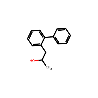 [CH2]C(O)Cc1ccccc1-c1ccccc1